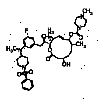 C=C(Cc1cc(F)cc(N(C)C2CCN(S(=O)(=O)c3ccccc3)CC2)c1)[C@H]1OC(=O)C[C@H](O)CC[C@H](C)[C@@H](OC(=O)N2CCN(C)CC2)/C=C/[C@@H]1C